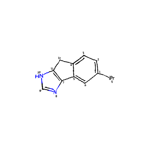 CC(C)c1ccc2c(c1)-c1nc[nH]c1C2